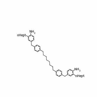 CCCCCCCc1cc(Cc2ccc(CCCCCCCCc3ccc(Cc4ccc(N)c(CCCCCCC)c4)cc3)cc2)ccc1N